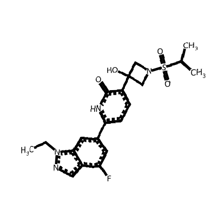 CCn1ncc2c(F)cc(-c3ccc(C4(O)CN(S(=O)(=O)C(C)C)C4)c(=O)[nH]3)cc21